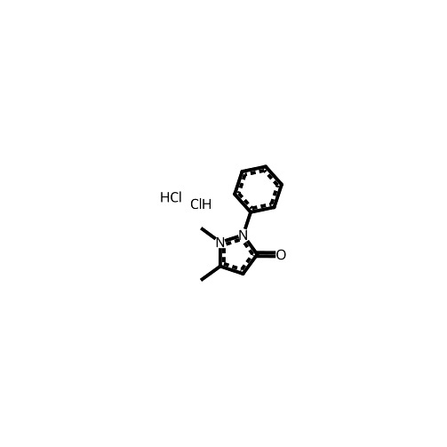 Cc1cc(=O)n(-c2ccccc2)n1C.Cl.Cl